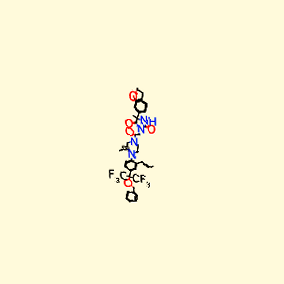 CC=Cc1cc(C(OCc2ccccc2)(C(F)(F)F)C(F)(F)F)ccc1N1CCN(C(=O)CN2C(=O)NC(C)(c3ccc4c(c3)OCC4)C2=O)C[C@@H]1C